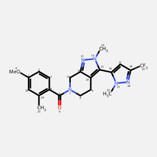 COc1ccc(C(=O)N2CCc3c(nn(C)c3-c3cc(C(F)(F)F)nn3C)C2)c(C)c1